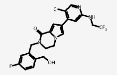 O=C1c2cc(-c3cc(NCC(F)(F)F)ncc3Cl)cn2CCN1Cc1cc(F)ccc1CO